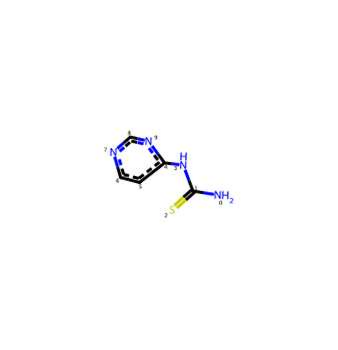 NC(=S)Nc1ccncn1